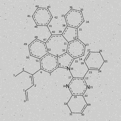 C=C/C=C(\CC)c1cc2c3c4c5c(ccc4n2-c2nc4c(nc2C2=CCCC=C2)C=CCC4)c2ccccc2c-5c(-c2ccccc2)c2cccc1c23